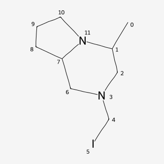 CC1CN(CI)CC2CCCN12